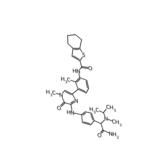 Cc1c(NC(=O)c2cc3c(s2)CCCC3)cccc1-c1cn(C)c(=O)c(Nc2ccc(C(C(N)=O)N(C)C(C)C)cc2)n1